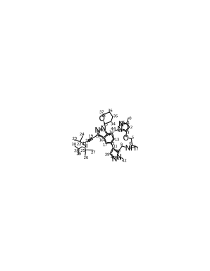 Cc1cc(OCC(C)NCc2c(-c3ccc4c(c3)c(C#C[Si](C(C)C)(C(C)C)C(C)C)nn4C3CCCCO3)cnn2C)n(C)n1